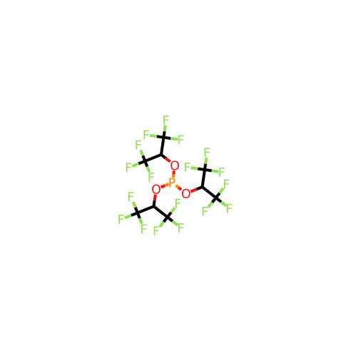 FC(F)(F)C(OP(OC(C(F)(F)F)C(F)(F)F)OC(C(F)(F)F)C(F)(F)F)C(F)(F)F